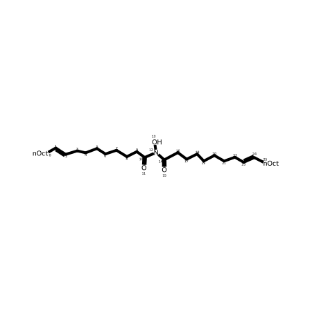 CCCCCCCCC=CCCCCCCCC(=O)N(O)C(=O)CCCCCCCC=CCCCCCCCC